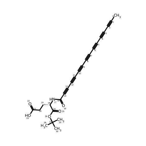 CC#CC#CC#CC#CC#CC#CC#CC(=O)N[C@@H](CCC(=O)O)C(=O)OC(C)(C)C